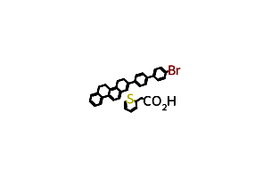 Brc1ccc(-c2ccc(C3=Cc4ccc5c(c4CC3)CCc3ccccc3-5)cc2)cc1.O=C(O)CC1C=CC=CS1